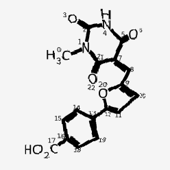 CN1C(=O)NC(=O)C(=Cc2ccc(-c3ccc(C(=O)O)cc3)o2)C1=O